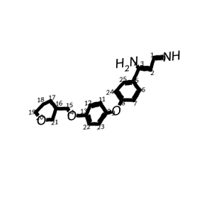 N=C/C=C(\N)c1ccc(Oc2ccc(OCC3CCCOC3)cc2)cc1